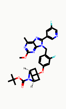 COc1nc(C)c2nc(-c3cncc(F)c3)n(Cc3ccc(O[C@@]45C[C@@H]6C4[C@H](C5)N6C(=O)OC(C)(C)C)cc3F)c2n1